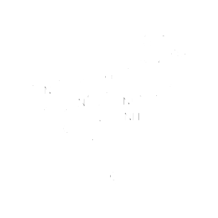 CN1CCN(CC(=O)N(Nc2cc(Cl)cc(Cl)c2)c2ccc3c(c2)OCO3)CC1